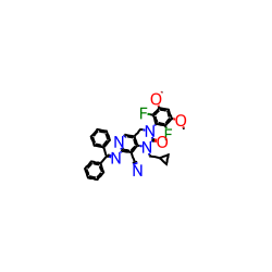 COc1cc(OC)c(F)c(N2Cc3cnc(N=C(c4ccccc4)c4ccccc4)c(C#N)c3N(CC3CC3)C2=O)c1F